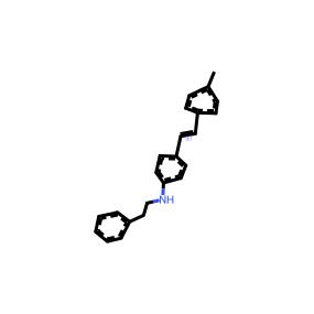 Cc1ccc(/C=C/c2ccc(NCCc3ccccc3)cc2)cc1